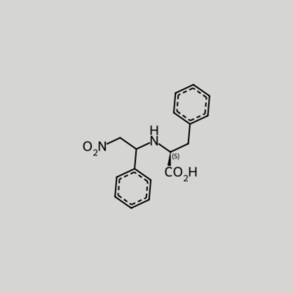 O=C(O)[C@H](Cc1ccccc1)NC(C[N+](=O)[O-])c1ccccc1